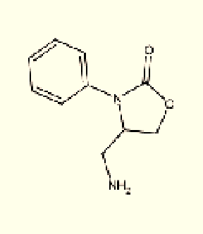 NCC1COC(=O)N1c1ccccc1